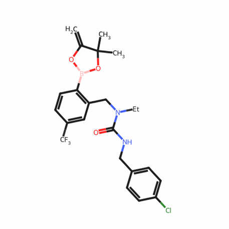 C=C1OB(c2ccc(C(F)(F)F)cc2CN(CC)C(=O)NCc2ccc(Cl)cc2)OC1(C)C